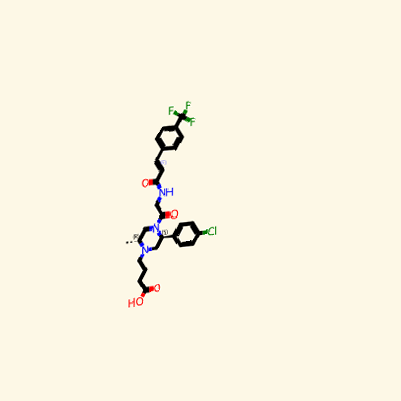 C[C@@H]1CN(C(=O)CNC(=O)/C=C/c2ccc(C(F)(F)F)cc2)[C@@H](c2ccc(Cl)cc2)CN1CCCC(=O)O